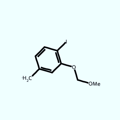 [CH2]c1ccc(I)c(OCOC)c1